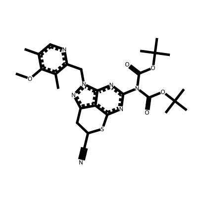 COc1c(C)cnc(Cn2nc3c4c(nc(N(C(=O)OC(C)(C)C)C(=O)OC(C)(C)C)nc42)SC(C#N)C3)c1C